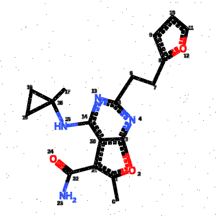 Cc1oc2nc(CCc3ccco3)nc(NC3(C)CC3)c2c1C(N)=O